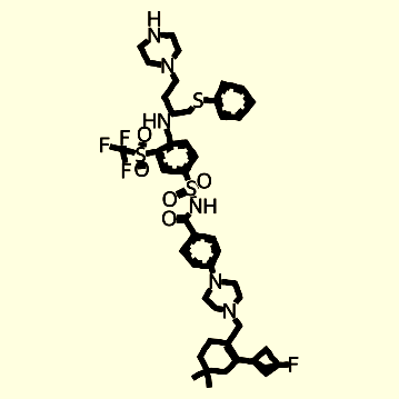 CC1(C)CCC(CN2CCN(c3ccc(C(=O)NS(=O)(=O)c4ccc(NC(CCN5CCNCC5)CSc5ccccc5)c(S(=O)(=O)C(F)(F)F)c4)cc3)CC2)=C(C23CC(F)(C2)C3)C1